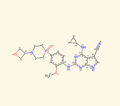 COc1cc(P2(=O)CCN(C3COC3)CC2)ccc1Nc1nc(NC2CC2)c2c(C#N)c[nH]c2n1